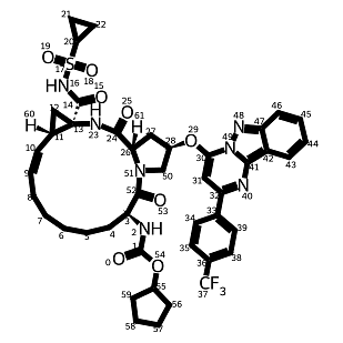 O=C(N[C@H]1CCCCC/C=C\[C@@H]2C[C@@]2(C(=O)NS(=O)(=O)C2CC2)NC(=O)[C@@H]2C[C@@H](Oc3cc(-c4ccc(C(F)(F)F)cc4)nc4c5ccccc5nn34)CN2C1=O)OC1CCCC1